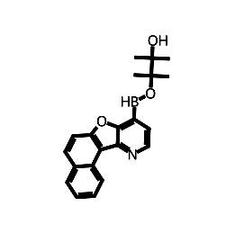 CC(C)(O)C(C)(C)OBc1ccnc2c1oc1ccc3ccccc3c12